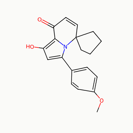 COc1ccc(-c2cc(O)c3n2C2(C=CC3=O)CCCC2)cc1